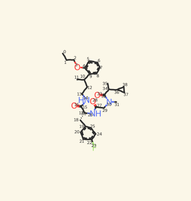 CCCOc1ccccc1C(C)CCNC(=O)[C@@H](Cc1ccc(F)cc1)NC(=O)CN(C)C(=O)C(C)C1CC1